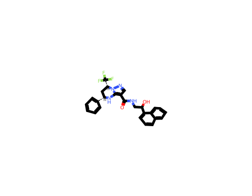 O=C(NCC(O)c1cccc2ccccc12)c1cnn2c1N[C@H](c1ccccc1)C[C@@H]2C(F)(F)F